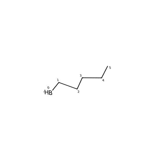 [BH]CCCCC